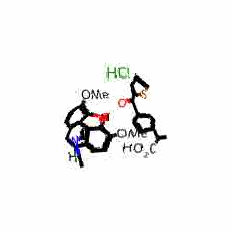 CC(C(=O)O)c1ccc(C(=O)c2cccs2)cc1.COC1=CC=C2[C@H]3Cc4ccc(OC)c5c4[C@@]2(CCN3C)[C@H]1O5.Cl